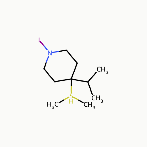 CC(C)C1([SH](C)C)CCN(I)CC1